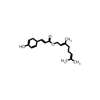 CC(C)=CCC/C(C)=C/COC(=O)C=CC1C=CC(O)=CC1